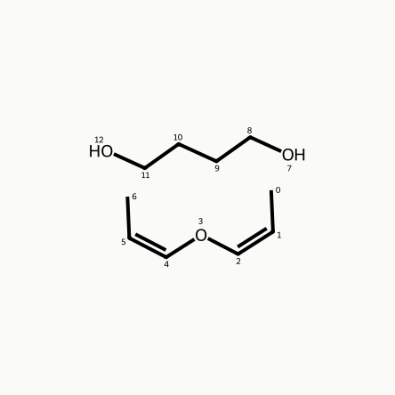 C/C=C\O/C=C\C.OCCCCO